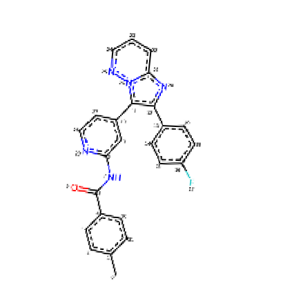 Cc1ccc(C(=O)Nc2cc(-c3c(-c4ccc(F)cc4)nc4cccnn34)ccn2)cc1